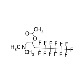 CC(=O)OC(CN(C)C)CC(F)(F)C(F)(F)C(F)(F)C(F)(F)C(F)(F)C(F)(F)F